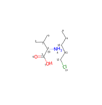 CC(C)[C@H](N)C(=O)O.CCCCCCl